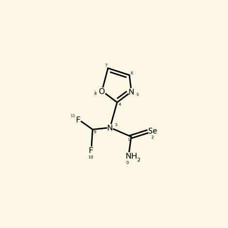 NC(=[Se])N(c1ncco1)C(F)F